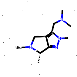 C[C@H]1c2nn(C)c(CN(C)C)c2CN1C(C)(C)C